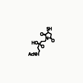 CC(=O)NCCP(=O)(O)CCN1C(=O)CC(S)C1=O